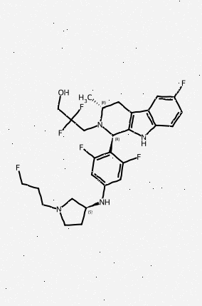 C[C@@H]1Cc2c([nH]c3ccc(F)cc23)[C@@H](c2c(F)cc(N[C@H]3CCN(CCCF)C3)cc2F)N1CC(F)(F)CO